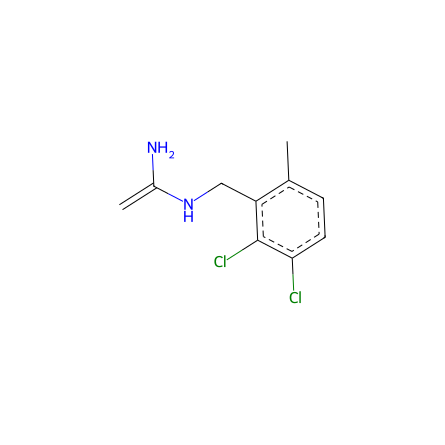 C=C(N)NCc1c(C)ccc(Cl)c1Cl